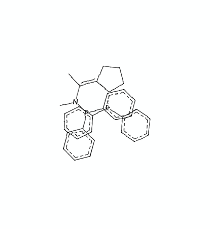 C/C(=C1\CCC[C@@H]1P(c1ccccc1)c1ccccc1)N(C)P(c1ccccc1)c1ccccc1